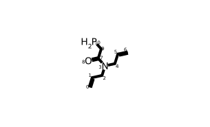 C=CCN(CC=C)C(=O)CP